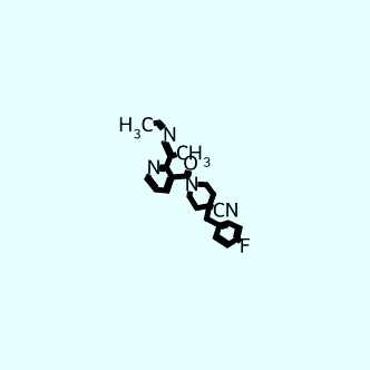 C/C=N\C=C(/C)c1ncccc1C(=O)N1CCC(C#N)(Cc2ccc(F)cc2)CC1